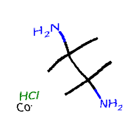 CC(C)(N)C(C)(C)N.Cl.[Co]